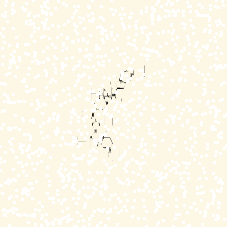 O=C(NN1CCC(C(=O)NCC2CNc3cc(Cl)ccc3O2)CC1)c1cc2cc(Cl)ccc2o1